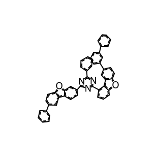 c1ccc(-c2cccc(-c3ccc4oc5cccc(-c6nc(-c7ccccc7)nc(-c7ccc8c(c7)oc7ccc(-c9ccccc9)cc78)n6)c5c4c3)c2)cc1